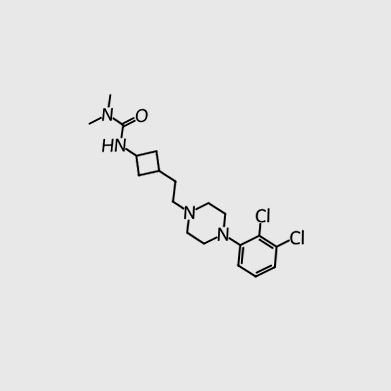 CN(C)C(=O)NC1CC(CCN2CCN(c3cccc(Cl)c3Cl)CC2)C1